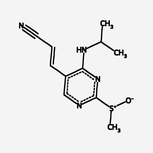 CC(C)Nc1nc([S+](C)[O-])ncc1C=CC#N